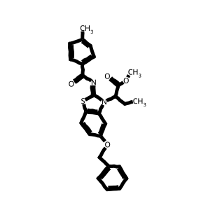 CCC(C(=O)OC)n1c(=NC(=O)c2ccc(C)cc2)sc2ccc(OCc3ccccc3)cc21